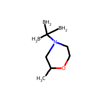 BC(B)(B)N1CCOC(C)C1